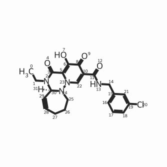 CCN1C(=O)c2c(O)c(=O)c(C(=O)NCc3cccc(Cl)c3)cn2N2CCCC#C[C@@H]12